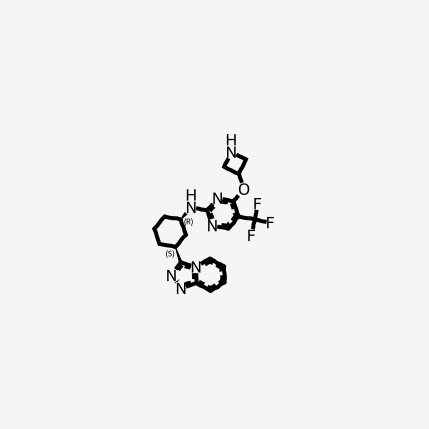 FC(F)(F)c1cnc(N[C@@H]2CCC[C@H](c3nnc4ccccn34)C2)nc1OC1CNC1